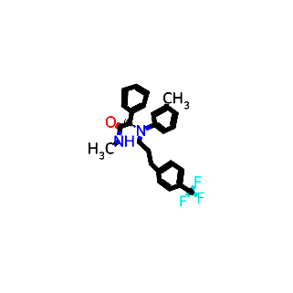 CNC(=O)[C@H](c1ccccc1)N(CCCc1ccc(C(F)(F)F)cc1)c1cccc(C)c1